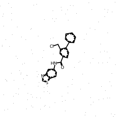 O=C(Nc1ccc2scnc2c1)c1ccc(-c2ccccc2)c(CCl)c1